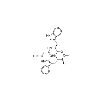 COC(=O)[C@H](Cc1c[nH]c2ccccc12)NC(=O)[C@H](Cc1c[nH]c2ccccc12)NC(=O)CON